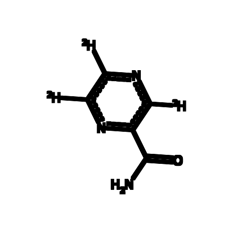 [2H]c1nc([2H])c(C(N)=O)nc1[2H]